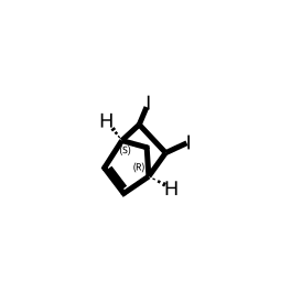 IC1C(I)[C@H]2C=C[C@@H]1C2